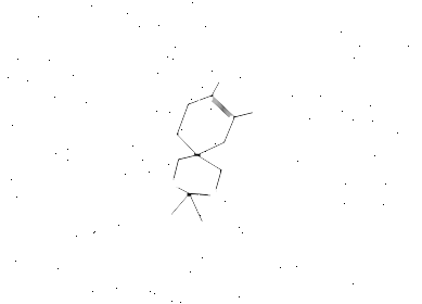 CC1=C(C)CC2(CC1)COC(C)(C)OC2